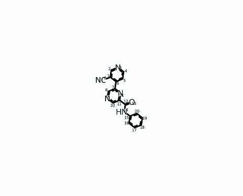 N#Cc1cnccc1-c1cncc(C(=O)Nc2ccccc2)n1